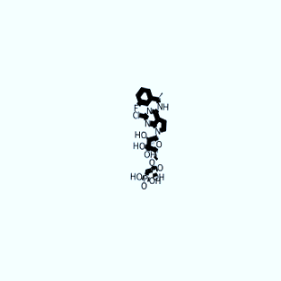 C[C@H](Nc1nc(Cl)nc2c1ccn2[C@@H]1O[C@H](COP(=O)(O)CP(=O)(O)O)C(O)(O)[C@H]1O)c1cccc(F)c1